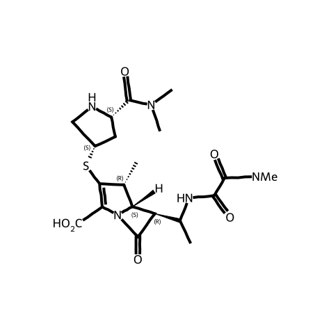 CNC(=O)C(=O)NC(C)[C@H]1C(=O)N2C(C(=O)O)=C(S[C@@H]3CN[C@H](C(=O)N(C)C)C3)[C@H](C)[C@H]12